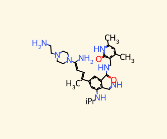 C/C(=C\C=C(/N)N1CCN(CCN)CC1)c1cc(NC(C)C)c(C=N)c(C(=O)NCc2c(C)cc(C)[nH]c2=O)c1